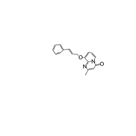 Cc1cc(=O)n2cccc(OCC=Cc3ccccc3)c2n1